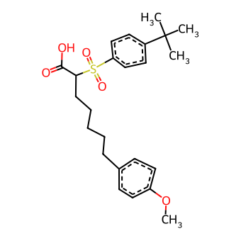 COc1ccc(CCCCCC(C(=O)O)S(=O)(=O)c2ccc(C(C)(C)C)cc2)cc1